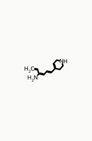 C=C/C(N)=C\C=C\C1=CCNCC1